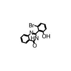 O=c1[nH]c(-c2c(O)cccc2Br)nc2ccccc12